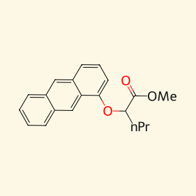 CCCC(Oc1cccc2cc3ccccc3cc12)C(=O)OC